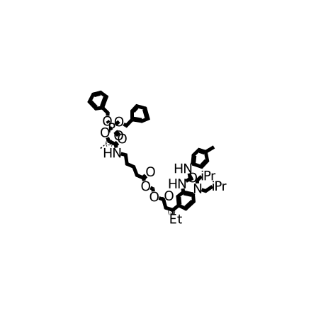 CC[C@@H](CC(=O)OCOC(=O)CCCCNC(=O)[C@H](C)OP(=O)(OCc1ccccc1)OCc1ccccc1)c1ccc(N(CC(C)C)CC(C)C)c(NC(=O)Nc2ccc(C)cc2)c1